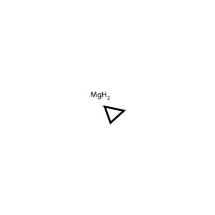 [CH]1CC1.[MgH2]